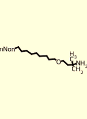 CCCCCCCCCCCCCCCCCCOCCC(C)(C)N